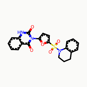 O=c1[nH]c2ccccc2c(=O)n1-c1ccc(S(=O)(=O)N2CCCc3ccccc32)o1